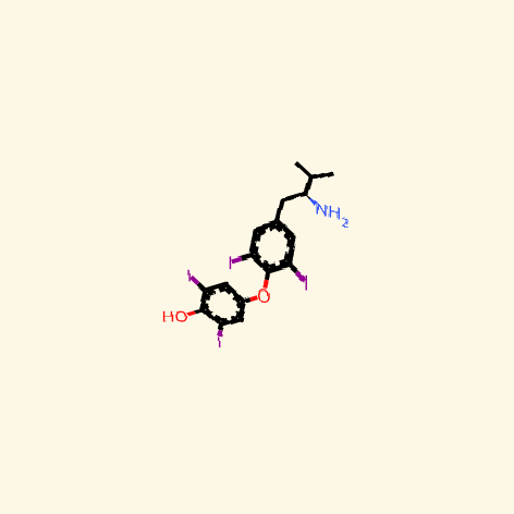 CC(C)[C@@H](N)Cc1cc(I)c(Oc2cc(I)c(O)c(I)c2)c(I)c1